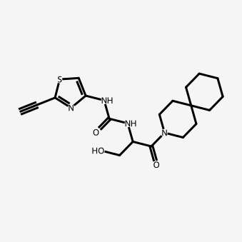 C#Cc1nc(NC(=O)NC(CO)C(=O)N2CCC3(CCCCC3)CC2)cs1